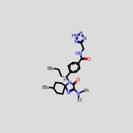 CCN(C1=NC2(CCC(C(C)(C)C)CC2)N([C@H](CCC(C)(C)C)c2ccc(C(=O)NCc3nn[nH]n3)cc2)C1=O)C(C)C